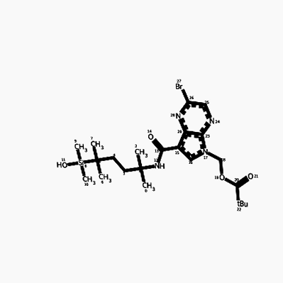 CC(C)(CCC(C)(C)[Si](C)(C)O)NC(=O)c1cn(COC(=O)C(C)(C)C)c2ncc(Br)nc12